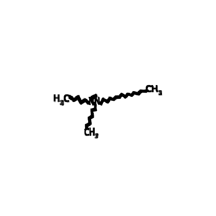 CCCCCCCCCCCCCCCCN1C=CN(CCCCCCC)C1CCCCCCC